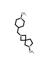 CN1CCC(CN2CC3(CCN(C)C3)C2)CC1